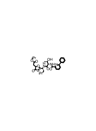 CC(C)C[C@H](NC(=O)[C@@H](NC(=O)c1cccc(-c2ccccc2)n1)[C@@H](C)O)B1OC(=O)C(CC(=O)OC(C)C)O1